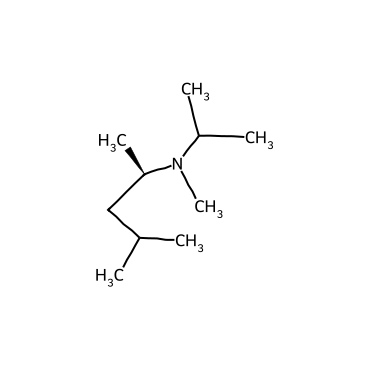 CC(C)C[C@@H](C)N(C)C(C)C